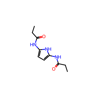 CCC(=O)Nc1ccc(NC(=O)CC)[nH]1